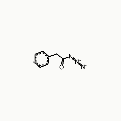 [N-]=[N+]=NC(=O)Cc1ccccc1